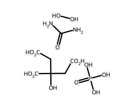 NC(N)=O.O=C(O)CC(O)(CC(=O)O)C(=O)O.O=P(O)(O)O.OO